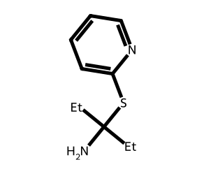 CCC(N)(CC)Sc1ccccn1